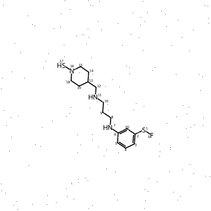 FSc1cccc(NCCCNCC2CCN(S)CC2)c1